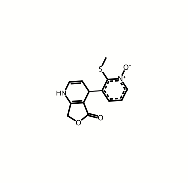 CSc1c(C2C=CNC3=C2C(=O)OC3)ccc[n+]1[O-]